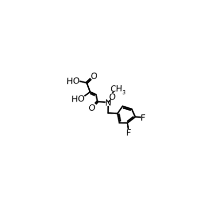 CON(Cc1ccc(F)c(F)c1)C(=O)/C=C(\O)C(=O)O